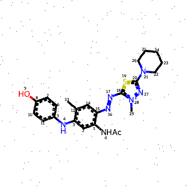 CC(=O)Nc1cc(Nc2ccc(O)cc2)c(C)cc1N=Nc1sc(N2CCCCC2)n[n+]1C